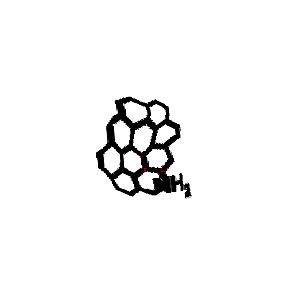 NCCCC12C3=CC=C4CCC5CC=C6C=C7C=CC8CCC9=C%10C(=C1C(C7C%108)C6C5C42)C(CC9)C3